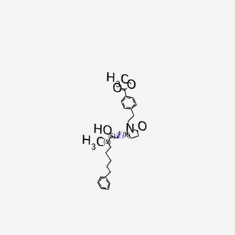 COC(=O)c1ccc(CCN2C(=O)CC[C@@H]2/C=C/[C@@H](O)[C@@H](C)CCCCCc2ccccc2)cc1